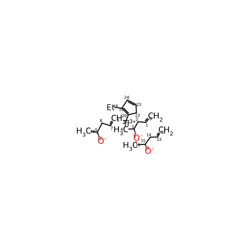 C=CCC(C)[O-].C=CCC(C)[O-].C=CCC(C)[O-].CCC1=[C]([Ti+3])CC=C1